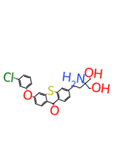 NC(CO)(CO)CCc1ccc2c(=O)c3ccc(Oc4cccc(Cl)c4)cc3sc2c1